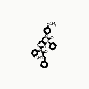 COc1ccc(N2Cc3cnc(N(C(=O)[C@@H](N)Cc4ccccc4)c4ccccc4)nc3N(c3ccccc3)C2=O)cc1